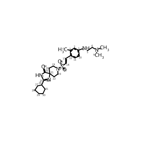 Cc1cc(NCCN(C)C)ccc1C=CS(=O)(=O)N1CCC2(CC1)N=C(C1CCCCC1)NC2=O